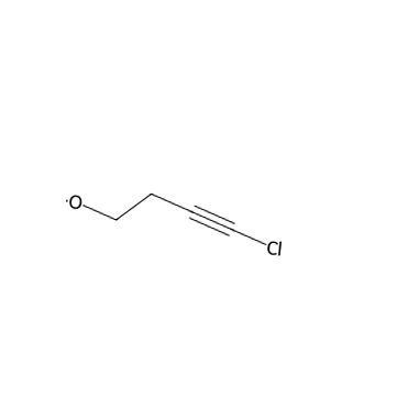 [O]CCC#CCl